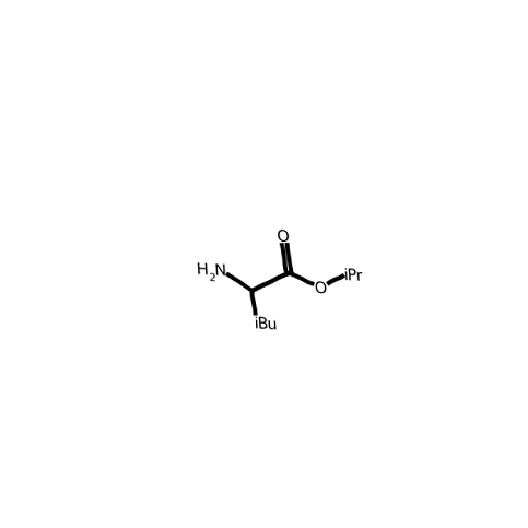 CCC(C)C(N)C(=O)OC(C)C